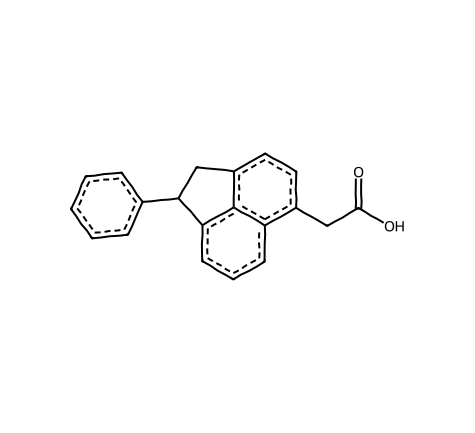 O=C(O)Cc1ccc2c3c(cccc13)C(c1ccccc1)C2